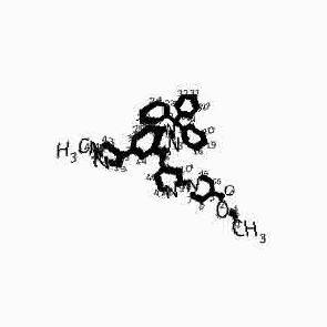 CCOC(=O)C1CCN(c2cc(-c3nn(C(c4ccccc4)(c4ccccc4)c4ccccc4)c4ccc(-c5cnn(C)c5)cc34)ccn2)CC1